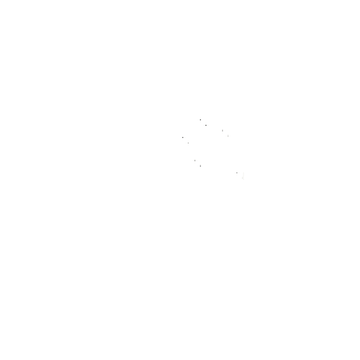 Cc1c(-n2nnnc2N)cccc1C(F)(F)F